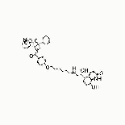 O=C(c1ccc(OCCCCCCNC[C@H](O)c2ccc(O)c3[nH]c(=O)ccc23)cc1)N1CC(C(=O)O)(c2ccccc2)[C@H]1C1CN2CCC1CC2